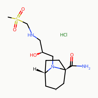 CS(=O)(=O)CNC[C@H](O)CN1[C@@H]2C[CH]C[C@@]1(C(N)=O)CC2.Cl